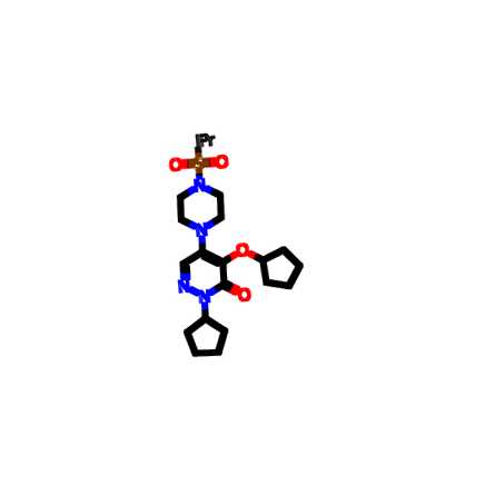 CC(C)S(=O)(=O)N1CCN(c2cnn(C3CCCC3)c(=O)c2OC2CCCC2)CC1